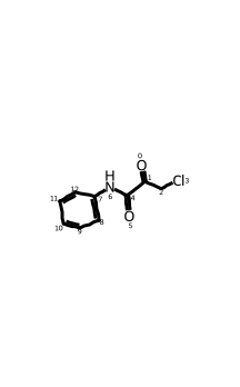 O=C(CCl)C(=O)Nc1ccccc1